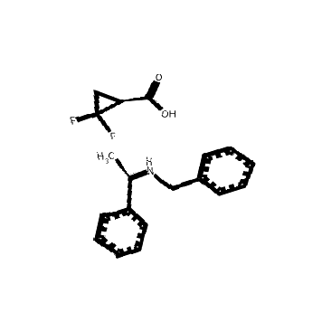 C[C@@H](NCc1ccccc1)c1ccccc1.O=C(O)[C@@H]1CC1(F)F